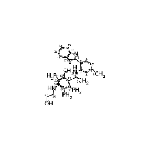 C=C(Nc1cc(C)ccc1-c1nc2ccccc2s1)c1c(C)c(P)c(NCCO)c(P)c1P